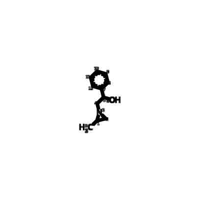 CC1CN1CC(O)c1ccccc1